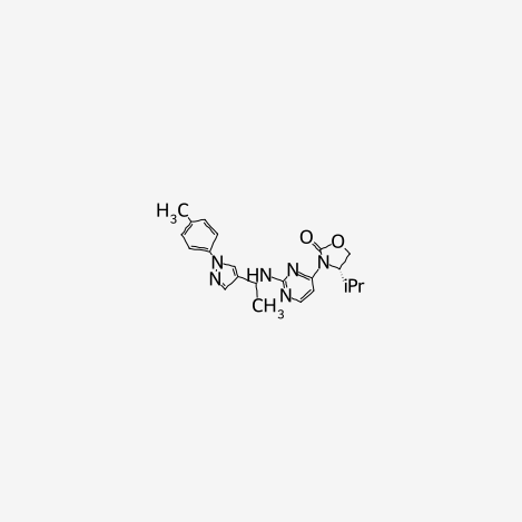 Cc1ccc(-n2cc(C(C)Nc3nccc(N4C(=O)OC[C@@H]4C(C)C)n3)cn2)cc1